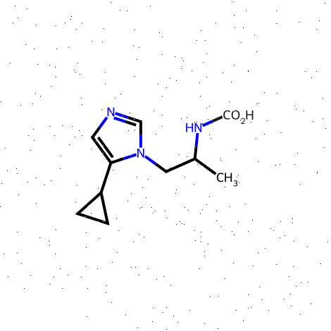 CC(Cn1cncc1C1CC1)NC(=O)O